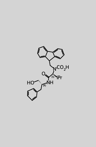 CC(C)[C@@H](C(=O)N[C@@H](CO)Cc1ccccc1)N(CC1c2ccccc2-c2ccccc21)C(=O)O